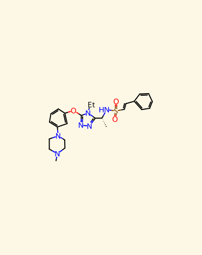 CCn1c(Oc2cccc(N3CCN(C)CC3)c2)nnc1[C@@H](C)NS(=O)(=O)/C=C/c1ccccc1